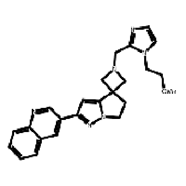 COCCn1ccnc1CN1CC2(CCn3nc(-c4cnc5ccccc5c4)cc32)C1